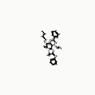 BOC1[C@H](O/C(=N/c2ccccc2)C(F)(F)F)OC(C)[C@H](OCCCC)[C@@H]1OC(=O)c1ccccc1